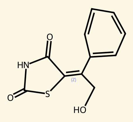 O=C1NC(=O)/C(=C(/CO)c2ccccc2)S1